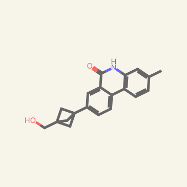 Cc1ccc2c(c1)[nH]c(=O)c1cc(C34CC(CO)(C3)C4)ccc12